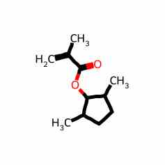 C=C(C)C(=O)OC1C(C)CCC1C